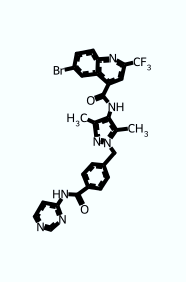 Cc1nn(Cc2ccc(C(=O)Nc3ccncn3)cc2)c(C)c1NC(=O)c1cc(C(F)(F)F)nc2ccc(Br)cc12